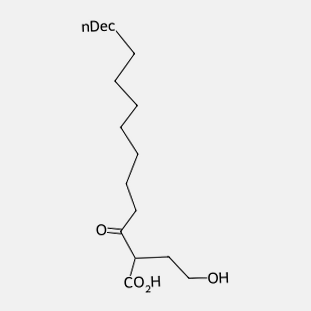 CCCCCCCCCCCCCCCCCC(=O)C(CCO)C(=O)O